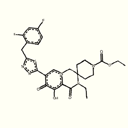 CCOC(=O)N1CCC2(CC1)Cn1cc(-c3nnc(Cc4ccc(F)cc4F)s3)c(=O)c(O)c1C(=O)N2CC